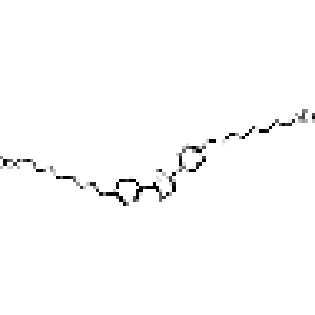 CCCCCCCCCCCCCCCCCCc1ccc(-c2cnc(-c3ccc(CCCCCCCCCCCCCCCCCC)cc3)o2)cc1